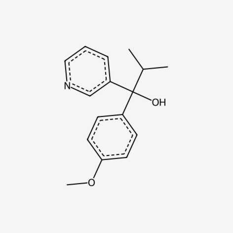 COc1ccc(C(O)(c2cccnc2)C(C)C)cc1